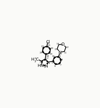 Cc1[nH]nc(-c2cccc(N3CCOCC3)c2)c1-c1ccc(Cl)cc1